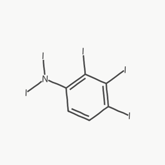 Ic1ccc(N(I)I)c(I)c1I